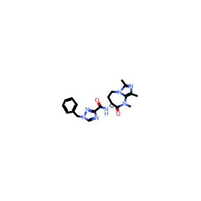 Cc1nc(C)n2c1N(C)C(=O)[C@H](NC(=O)c1ncn(Cc3ccccc3)n1)CC2